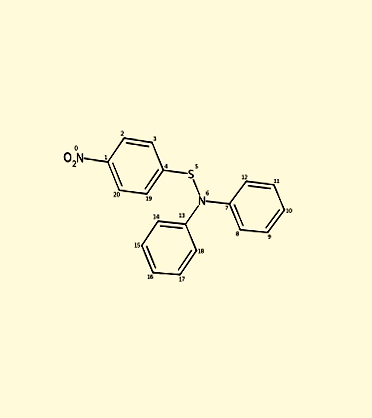 O=[N+]([O-])c1ccc(SN(c2ccccc2)c2ccccc2)cc1